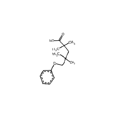 CC(C)(COc1ccccc1)CC(C)(C)C(=O)O